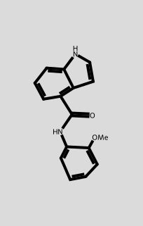 COc1ccccc1NC(=O)c1cccc2[nH]ccc12